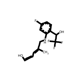 C/C(=C\C=C/O)CNc1cc(F)ccc1C(O)C(F)(F)F